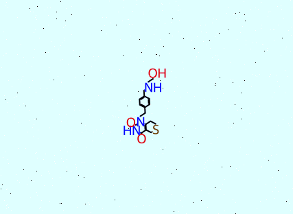 O=c1[nH]c(=O)n(CCc2ccc(CNCCO)cc2)c2c1CSCC2